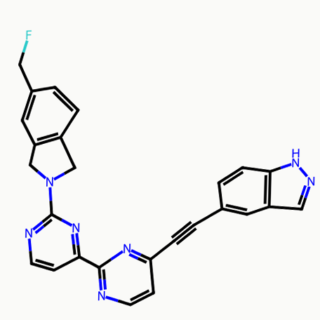 FCc1ccc2c(c1)CN(c1nccc(-c3nccc(C#Cc4ccc5[nH]ncc5c4)n3)n1)C2